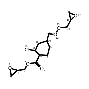 O=C(OCC1CO1)C1CCC(COOCC2CO2)CC1Cl